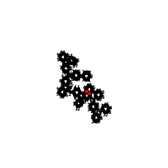 CC1(Cc2ccc3c(c2)C2(CC4CCC2C4)c2cc(N(c4ccc5c6ccccc6n(-c6ccccc6)c5c4)c4ccccc4-c4ccccc4)ccc2-3)c2ccccc2-c2ccc(N(c3ccc(-c4ccccc4)cc3)c3ccc4c(c3)C3(CC5CCC3C5)c3ccccc3-4)cc21